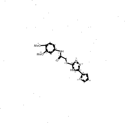 COc1ccc(NC(=O)CSc2nnc(-c3ccco3)[nH]2)cc1OC